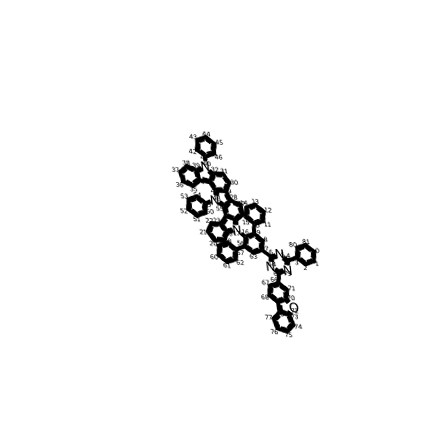 c1ccc(-c2nc(-c3cc(-c4ccccc4)c(-n4c5ccccc5c5c4ccc4c6ccc7c(c8ccccc8n7-c7ccccc7)c6n(-c6ccccc6)c45)c(-c4ccccc4)c3)nc(-c3ccc4c(c3)oc3ccccc34)n2)cc1